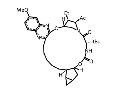 CC[C@@H]1[C@@H]2CN(C(=O)[C@H](C(C)(C)C)NC(=O)O[C@@H]3CC4CC4[C@H]3CCCCCc3nc4ccc(OC)cc4nc3O2)[C@@H]1C(C)=O